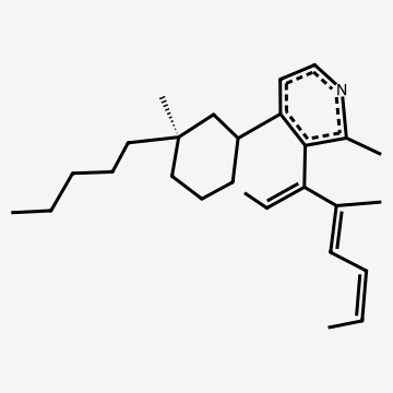 C\C=C/C=C(C)/C(=C/C)c1c(C2CCC[C@@](C)(CCCCC)C2)ccnc1C